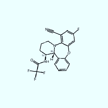 N#Cc1cc(F)cc2c1N1CCC[C@H](NC(=O)C(F)(F)F)[C@H]1c1ccccc1O2